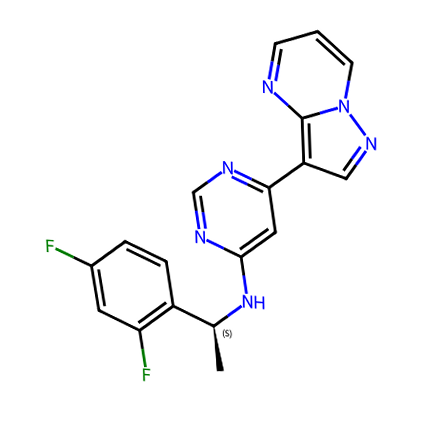 C[C@H](Nc1cc(-c2cnn3cccnc23)ncn1)c1ccc(F)cc1F